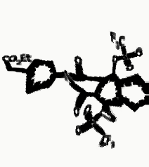 CCOC(=O)Cc1ccc(N2C(=O)c3c(c(OS(=O)(=O)C(F)(F)F)c4ccccc4c3OS(=O)(=O)C(F)(F)F)C2=O)cc1